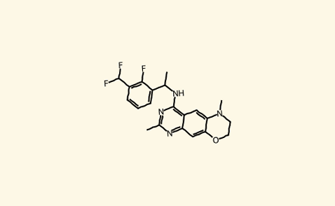 Cc1nc(NC(C)c2cccc(C(F)F)c2F)c2cc3c(cc2n1)OCCN3C